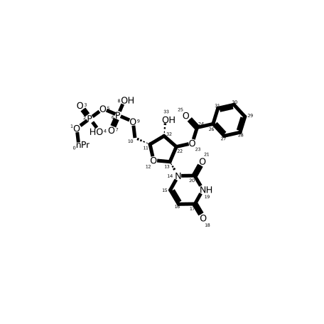 CCCOP(=O)(O)OP(=O)(O)OC[C@H]1O[C@@H](n2ccc(=O)[nH]c2=O)C(OC(=O)c2ccccc2)[C@H]1O